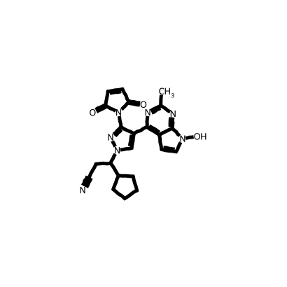 Cc1nc(-c2cn(C(CC#N)C3CCCC3)nc2N2C(=O)C=CC2=O)c2ccn(O)c2n1